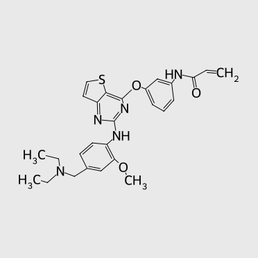 C=CC(=O)Nc1cccc(Oc2nc(Nc3ccc(CN(CC)CC)cc3OC)nc3ccsc23)c1